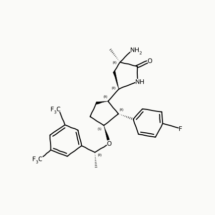 C[C@@H](O[C@H]1CC[C@@H]([C@H]2C[C@@](C)(N)C(=O)N2)[C@@H]1c1ccc(F)cc1)c1cc(C(F)(F)F)cc(C(F)(F)F)c1